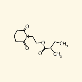 CCC(C)C(=O)OCCN1C(=O)CCCC1=O